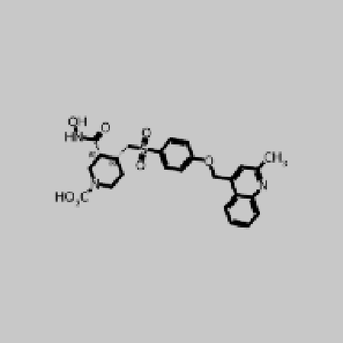 Cc1cc(COc2ccc(S(=O)(=O)C[C@@H]3CCN(C(=O)O)C[C@@H]3C(=O)NO)cc2)c2ccccc2n1